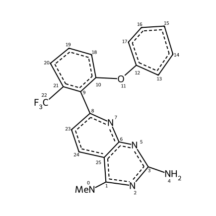 CNc1nc(N)nc2nc(-c3c(Oc4ccccc4)cccc3C(F)(F)F)ccc12